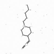 C=C=CC1CCN(CCCCC)CC1